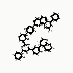 CC(C)c1cc(-c2ccccc2)c2ccc3ccc(-c4ccc(-c5cccc(-c6nc(-c7ccccc7)cc(-c7cccc(-c8ccnc9c8C=CCC9)c7)n6)c5)cc4)nc3c2n1